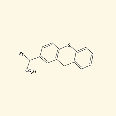 CCC(C(=O)O)c1ccc2c(c1)Cc1ccccc1S2